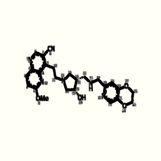 COc1ccc2ncc(C#N)c(CCN3C[C@H](CNCc4cc5c(cn4)OCCO5)[C@H](O)C3)c2n1